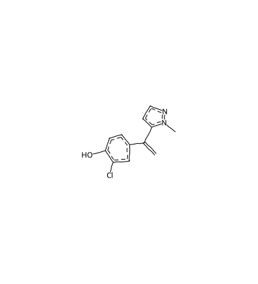 C=C(c1ccc(O)c(Cl)c1)c1ccnn1C